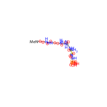 CNCCOCCOCCNC(=O)CCC(=O)NCCOCCOCCNC(=O)CCC(=O)N[C@@H](CCCCNC(=O)[C@H](N)CSC1CC(=O)N(CC(=O)NCCCC(O)(O[PH](=O)O)O[PH](=O)O)C1=O)C(N)=O